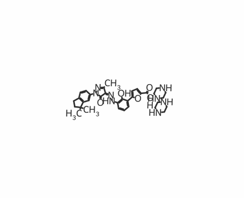 C1CNCCN1.C1CNCCN1.CC1=NN(c2ccc3c(c2)C(C)(C)CC3)C(=O)/C1=N\Nc1cccc(-c2ccc(C(=O)O)o2)c1O